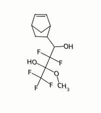 COC(O)(C(F)(F)F)C(F)(F)C(O)C1CC2C=CC1C2